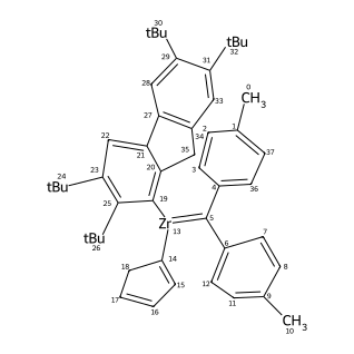 Cc1ccc([C](c2ccc(C)cc2)=[Zr]([C]2=CC=CC2)[c]2c3c(cc(C(C)(C)C)c2C(C)(C)C)-c2cc(C(C)(C)C)c(C(C)(C)C)cc2C3)cc1